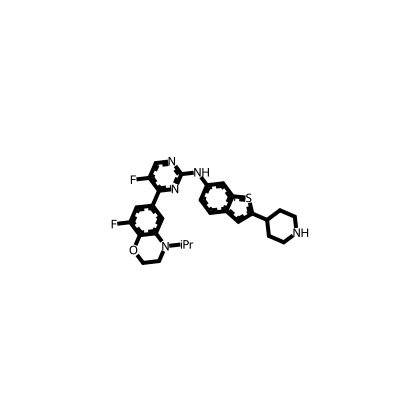 CC(C)N1CCOc2c(F)cc(-c3nc(Nc4ccc5cc(C6CCNCC6)sc5c4)ncc3F)cc21